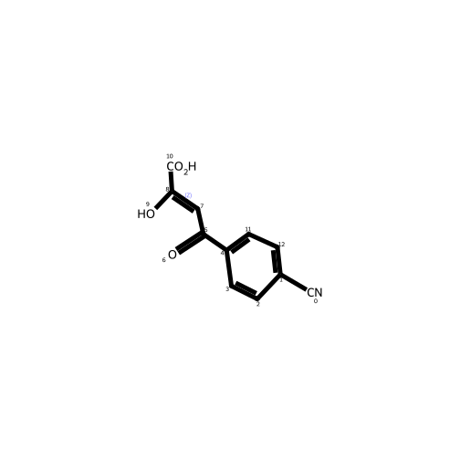 N#Cc1ccc(C(=O)/C=C(\O)C(=O)O)cc1